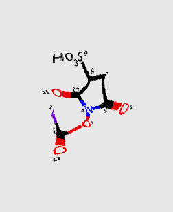 O=C(I)ON1C(=O)CC(S(=O)(=O)O)C1=O